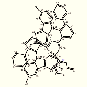 C=C/C=C(\C=C/C)c1nc(-c2cccc(-c3ccccc3)c2-n2c3ccc(C)cc3c3cc(C)ccc32)nc(-c2cccc(-c3ccccc3)c2-n2c3ccc(C)cc3c3cc(C)ccc32)n1